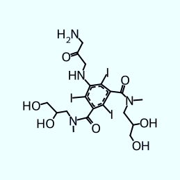 CN(CC(O)CO)C(=O)c1c(I)c(NCC(=O)CN)c(I)c(C(=O)N(C)CC(O)CO)c1I